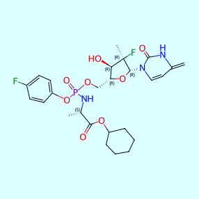 C=C1C=CN([C@@H]2O[C@H](COP(=O)(N[C@@H](C)C(=O)OC3CCCCC3)Oc3ccc(F)cc3)[C@@H](O)[C@@]2(C)F)C(=O)N1